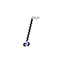 O=C(O)CCCCCCCCCCCCCCCCCN1CC=CN2CCCC21